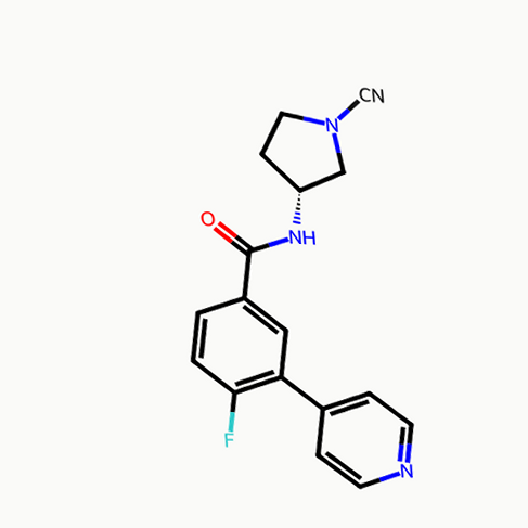 N#CN1CC[C@@H](NC(=O)c2ccc(F)c(-c3ccncc3)c2)C1